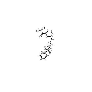 CCN(CC)C(=O)C1CCCN(CCCC(C)(C)S(=O)(=O)c2ccccc2)C1